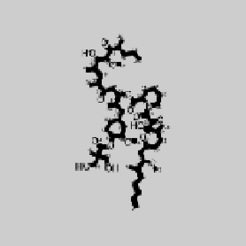 C=C/C=C/C=C(\C)C(CC1CCC(C)C(O)(C(=O)C(=O)N2CCCCC2C(=O)OC(CC(=O)C(C)/C=C(\C)C(O)C(OC)C(=O)C(C)CCC)C(C)CC2CCC(OC(=O)C(C)(CO)CO)C(OC)C2)O1)OC